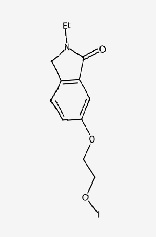 CCN1Cc2ccc(OCCOI)cc2C1=O